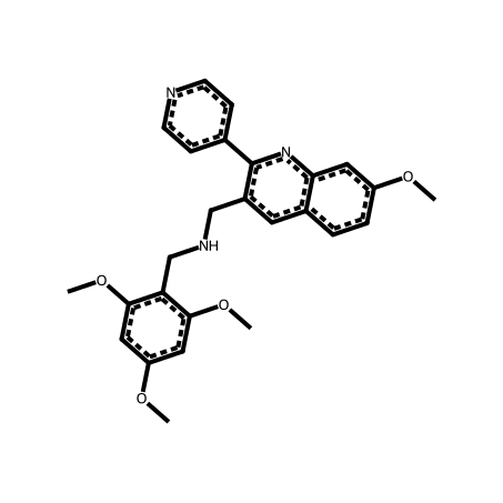 COc1cc(OC)c(CNCc2cc3ccc(OC)cc3nc2-c2ccncc2)c(OC)c1